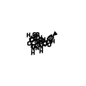 COc1cc2c(cc1Nc1nc(Nc3ccccc3P(C)(C)=O)c3c(Cl)c[nH]c3n1)OC[C@H]1CN(C3CC3)CCN21